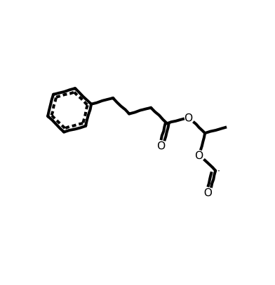 CC(O[C]=O)OC(=O)CCCc1ccccc1